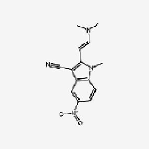 CN(C)/C=C/c1c(C#N)c2cc([N+](=O)[O-])ccc2n1C